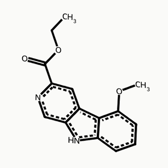 CCOC(=O)c1cc2c(cn1)[nH]c1cccc(OC)c12